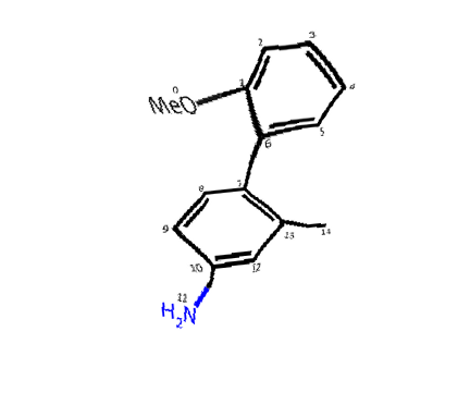 COc1ccccc1-c1ccc(N)cc1C